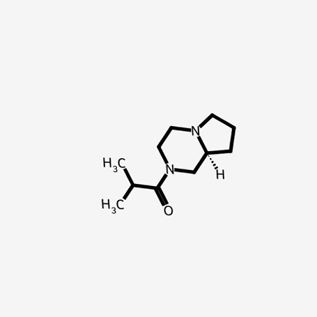 CC(C)C(=O)N1CCN2CCC[C@H]2C1